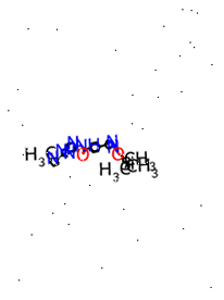 CN1CCC[C@@H]1c1cn2cc(NC(=O)c3ccc(-c4cnn(COCC[Si](C)(C)C)c4)cc3)ncc2n1